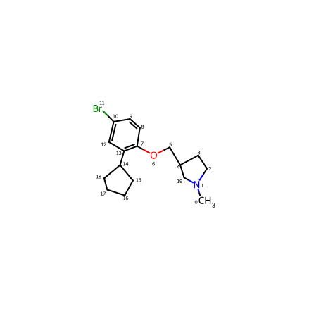 CN1CCC(COc2ccc(Br)cc2C2CCCC2)C1